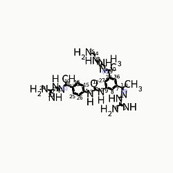 C/C(=N/NC(=N)N)c1cc(NC(=O)Nc2ccc(/C(C)=N/NC(=N)N)cc2)cc(/C(C)=N/NNCN)c1